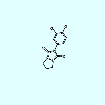 O=c1n(-c2ccc(Cl)c(Cl)c2)c(=O)n2n1CCC2